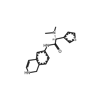 CN(C)[C@@H](C(=O)Nc1ccc2c(c1)C=CNC2)c1ccsc1